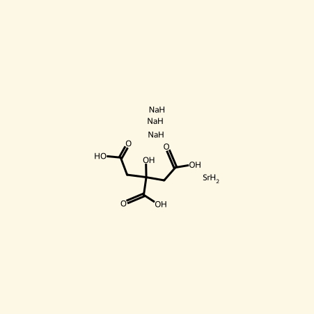 O=C(O)CC(O)(CC(=O)O)C(=O)O.[NaH].[NaH].[NaH].[SrH2]